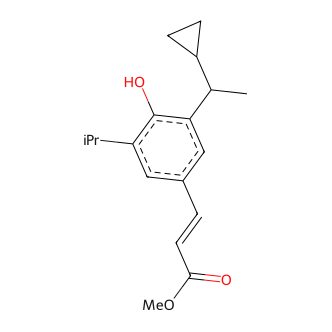 COC(=O)C=Cc1cc(C(C)C)c(O)c(C(C)C2CC2)c1